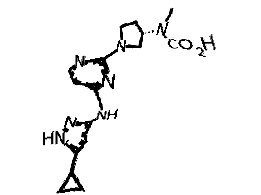 CN(C(=O)O)[C@H]1CCN(c2nccc(Nc3cc(C4CC4)[nH]n3)n2)C1